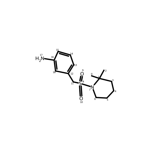 CC1(C)CCCCN1S(=O)(=O)Cc1cccc(N)c1